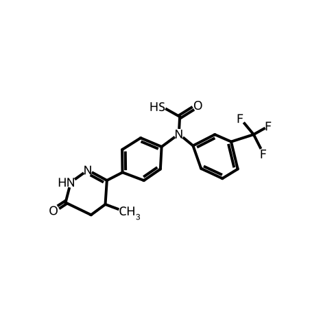 CC1CC(=O)NN=C1c1ccc(N(C(=O)S)c2cccc(C(F)(F)F)c2)cc1